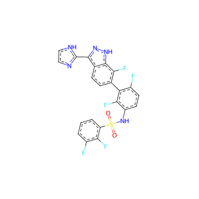 O=S(=O)(Nc1ccc(F)c(-c2ccc3c(-c4ncc[nH]4)n[nH]c3c2F)c1F)c1cccc(F)c1F